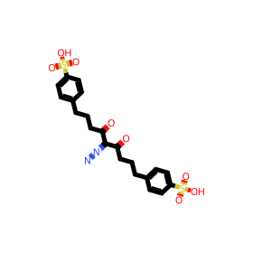 [N-]=[N+]=C(C(=O)CCCc1ccc(S(=O)(=O)O)cc1)C(=O)CCCc1ccc(S(=O)(=O)O)cc1